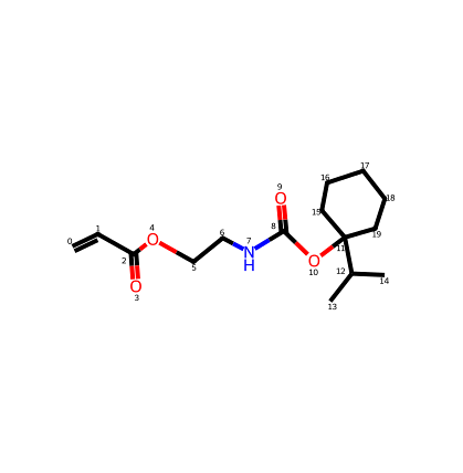 C=CC(=O)OCCNC(=O)OC1(C(C)C)CCCCC1